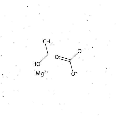 CCO.O=C([O-])[O-].[Mg+2]